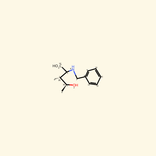 C[C@H](O)[C@H](C)C(NCc1ccccc1)C(=O)O